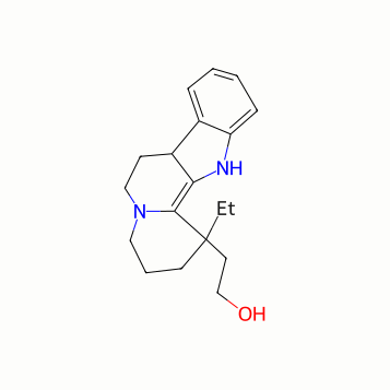 CCC1(CCO)CCCN2CCC3C(=C21)Nc1ccccc13